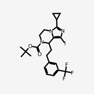 CC(C)(C)OC(=O)N1CCn2c(C3CC3)nc(I)c2C1CCc1cccc(C(F)(F)F)c1